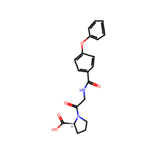 O=C(NCC(=O)N1CCC[C@H]1C(=O)O)c1ccc(Oc2ccccc2)cc1